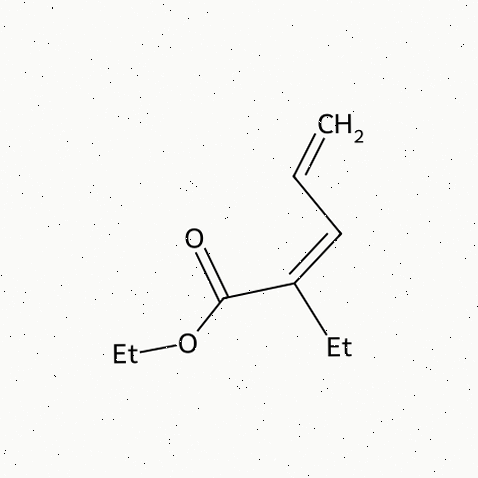 C=CC=C(CC)C(=O)OCC